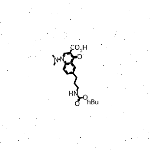 CCCCOC(=O)NCCCc1ccc2c(c1)c(=O)c(C(=O)O)cn2N(C)C